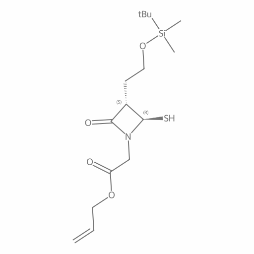 C=CCOC(=O)CN1C(=O)[C@H](CCO[Si](C)(C)C(C)(C)C)[C@H]1S